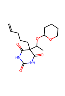 C=CCCCC1(C(C)OC2CCCCO2)C(=O)NC(=O)NC1=O